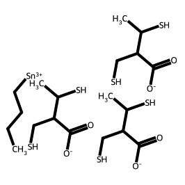 CC(S)C(CS)C(=O)[O-].CC(S)C(CS)C(=O)[O-].CC(S)C(CS)C(=O)[O-].CCC[CH2][Sn+3]